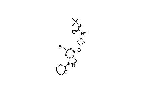 CN(C(=O)OC(C)(C)C)C1CC(Oc2cc(Br)cc3c2cnn3C2CCCCO2)C1